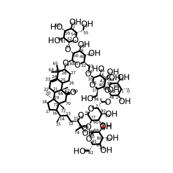 C[C@@H]1[C@@H](O)[C@H](OC[C@H]2O[C@@H](O[C@H](CC[C@@H](C)C3CC[C@@]4(C)C5CC=C6C(CC[C@H](O[C@@H]7O[C@H](CO[C@@H]8O[C@H](CO)[C@@H](O)[C@H](O)[C@H]8O)[C@@H](O)[C@H](O)[C@H]7O[C@H]7O[C@@H](CO)[C@H](O)[C@@H](O)[C@@H]7O)C6(C)C)[C@]5(C)C(=O)C[C@]34C)C(C)(C)O)[C@H](O[C@H]3O[C@@H](CO)[C@H](O)[C@@H](O)[C@@H]3O)[C@@H](O)[C@@H]2O)O[C@H](CO)[C@H]1O